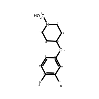 O=C(O)N1CCC(Oc2ccc(F)c(F)c2)CC1